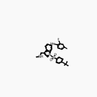 CNCc1cn(S(=O)(=O)c2ccc(C(C)(C)C)cc2)c2cc(Nc3ccc(C)cc3F)ccc12